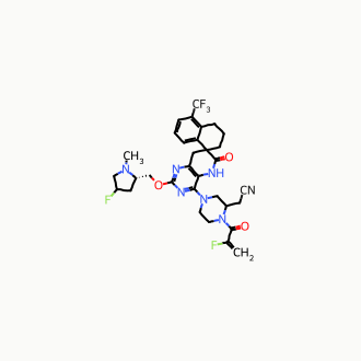 C=C(F)C(=O)N1CCN(c2nc(OC[C@@H]3CC(F)CN3C)nc3c2NC(=O)C2(CCCc4c(C(F)(F)F)cccc42)C3)CC1CC#N